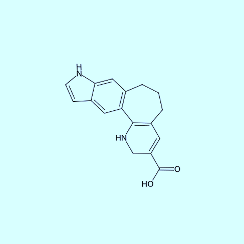 O=C(O)C1=CC2=C(NC1)c1cc3cc[nH]c3cc1CCC2